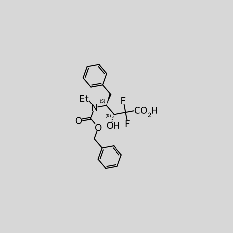 CCN(C(=O)OCc1ccccc1)[C@@H](Cc1ccccc1)[C@@H](O)C(F)(F)C(=O)O